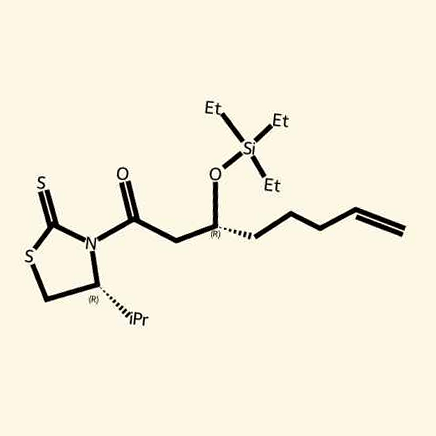 C=CCCC[C@H](CC(=O)N1C(=S)SC[C@H]1C(C)C)O[Si](CC)(CC)CC